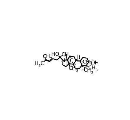 CC(C)=CCC[C@](C)(O)[C@H]1CC[C@]2(C)[C@@H]1CC[C@@H]1[C@@]3(C)CC[C@H](O)C(C)(C)[C@@H]3CC[C@]12C